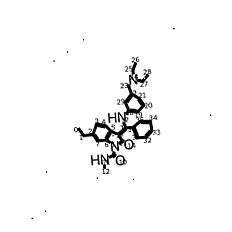 CCc1ccc2c(c1)N(C(=O)NC)C(=O)C2=C(Nc1cccc(CN(CC)CC)c1)c1ccccc1